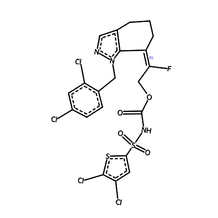 O=C(NS(=O)(=O)c1cc(Cl)c(Cl)s1)OC/C(F)=C1/CCCc2cnn(Cc3ccc(Cl)cc3Cl)c21